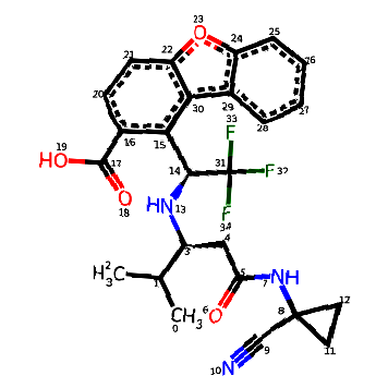 CC(C)[C@H](CC(=O)NC1(C#N)CC1)N[C@@H](c1c(C(=O)O)ccc2oc3ccccc3c12)C(F)(F)F